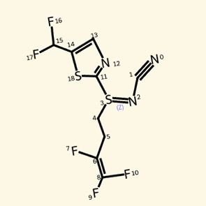 N#C/N=S(/CCC(F)=C(F)F)c1ncc(C(F)F)s1